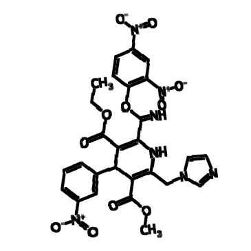 CCOC(=O)C1=C(C(=N)Oc2ccc([N+](=O)[O-])cc2[N+](=O)[O-])NC(Cn2ccnc2)=C(C(=O)OC)C1c1cccc([N+](=O)[O-])c1